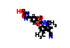 Cc1ccc(NS(=O)(=O)c2ccc(-c3noc(O)n3)cc2)c2c1c(C#N)cn2C